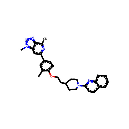 Cc1cc(-c2cc3c(nnn3C)c(C#N)n2)ccc1OCCC1CCN(c2ccc3ccccc3n2)CC1